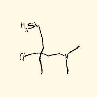 CN(C)C(C)(Cl)C[SiH3]